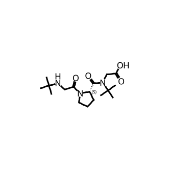 CC(C)(C)NCC(=O)N1CCC[C@H]1C(=O)N(CC(=O)O)C(C)(C)C